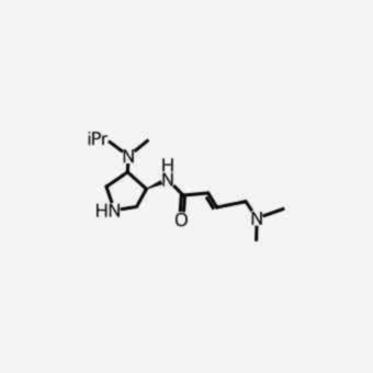 CC(C)N(C)C1CNC[C@@H]1NC(=O)/C=C/CN(C)C